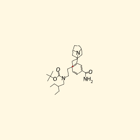 CCC(CC)CN(CCCCCN1C2CCC1CC(c1cccc(C(N)=O)c1)C2)C(=O)OC(C)(C)C